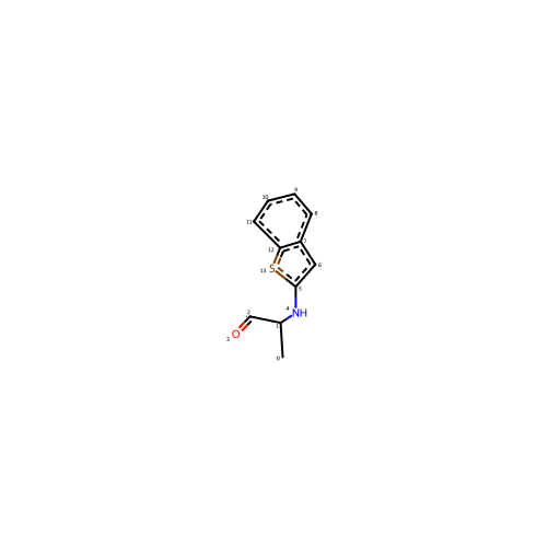 CC([C]=O)Nc1cc2ccccc2s1